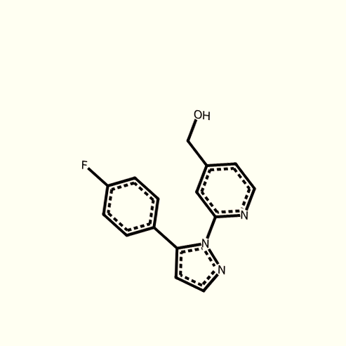 OCc1ccnc(-n2nccc2-c2ccc(F)cc2)c1